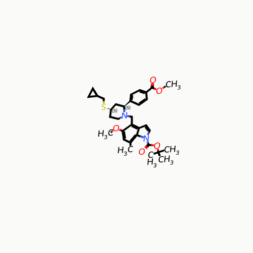 COC(=O)c1ccc([C@@H]2C[C@@H](SCC3CC3)CCN2Cc2c(OC)cc(C)c3c2ccn3C(=O)OC(C)(C)C)cc1